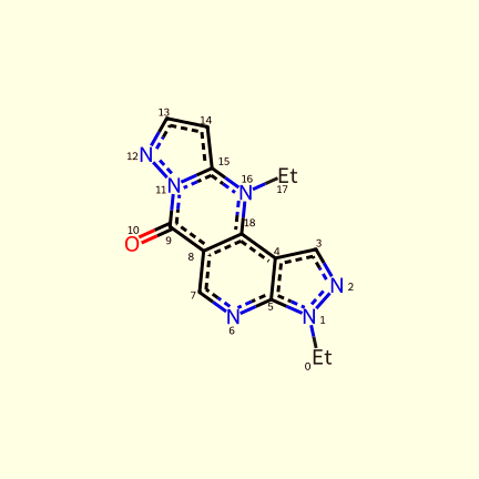 CCn1ncc2c1ncc1c(=O)n3nccc3n(CC)c12